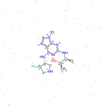 CC[C@H](Nc1nc(N[C@@H]2CNC[C@H]2F)c2ncn(CC)c2n1)[C@@H](C)O